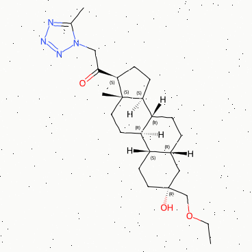 CCOC[C@@]1(O)CC[C@H]2[C@H](CC[C@@H]3[C@@H]2CC[C@]2(C)[C@@H](C(=O)Cn4nnnc4C)CC[C@@H]32)C1